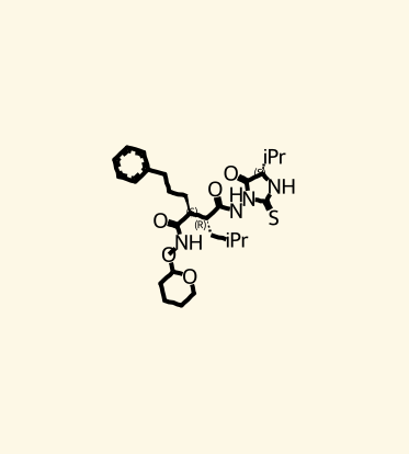 CC(C)C[C@@H](C(=O)NN1C(=O)[C@H](C(C)C)NC1=S)[C@H](CCCc1ccccc1)C(=O)NOC1CCCCO1